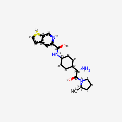 N#C[C@@H]1CCCN1C(=O)[C@@H](N)C1CCC(NC(=O)c2cc3ccsc3cn2)CC1